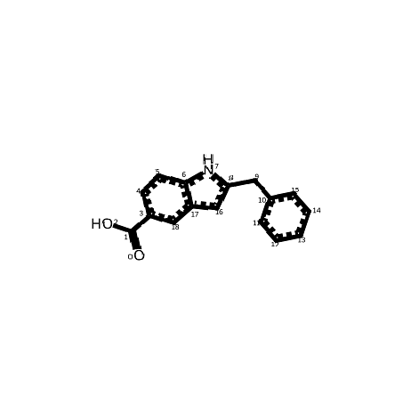 O=C(O)c1ccc2[nH]c(Cc3ccccc3)cc2c1